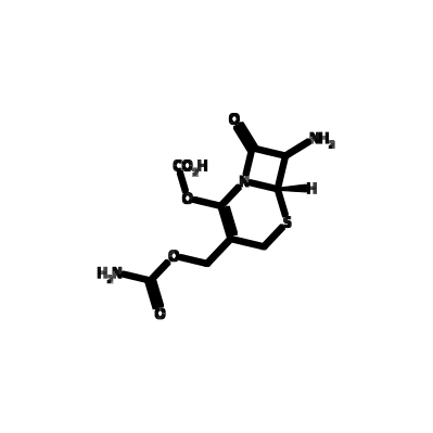 NC(=O)OCC1=C(OC(=O)O)N2C(=O)C(N)[C@@H]2SC1